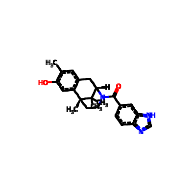 Cc1cc2c(cc1O)[C@@]1(C)CCN(C(=O)c3ccc4nc[nH]c4c3)[C@@H](C2)C1(C)C